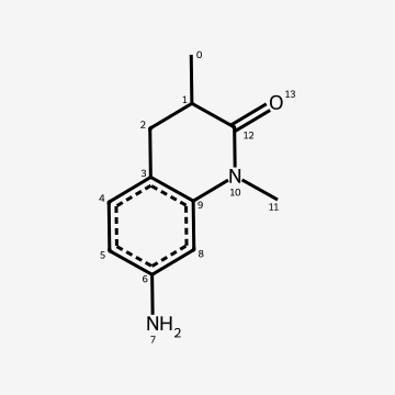 CC1Cc2ccc(N)cc2N(C)C1=O